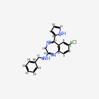 Clc1ccc2c(c1)C(c1ccc[nH]1)=NCC(NCc1ccccc1)=N2